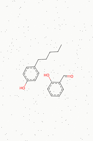 CCCCCc1ccc(O)cc1.O=Cc1ccccc1O